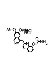 COc1cc2cncc(Cc3ccc4cccc(OCC(N)=O)c4n3)c2cc1OC.Cl.Cl